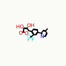 Cc1ccnc(-c2ccc(C3OC(=O)C(O)=C3O)c(C(F)(F)F)c2)c1